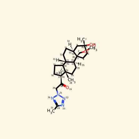 COC[C@]12CC[C@@](C)(O)C[C@@H]1CC[C@H]1[C@@H]3CC[C@H](C(=O)Cn4nnc(C)n4)[C@@]3(C)CC[C@@H]12